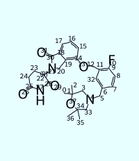 CC1(C)CN(Cc2ccc(F)c(COc3cccc4c3CN([C@@H]3CCC(=O)NC3=O)C4=O)c2)CC(C)(C)O1